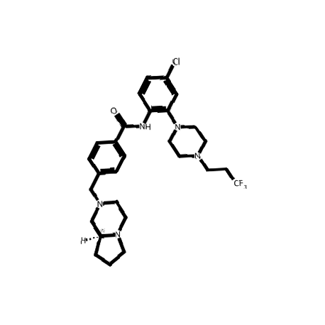 O=C(Nc1ccc(Cl)cc1N1CCN(CCC(F)(F)F)CC1)c1ccc(CN2CCN3CCC[C@H]3C2)cc1